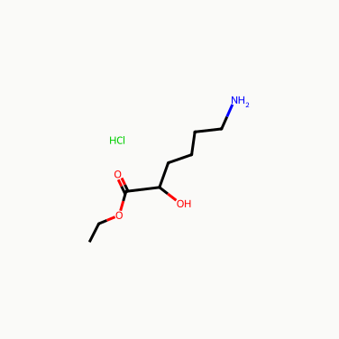 CCOC(=O)C(O)CCCCN.Cl